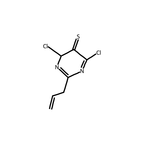 C=CCC1=NC(Cl)C(=S)C(Cl)=N1